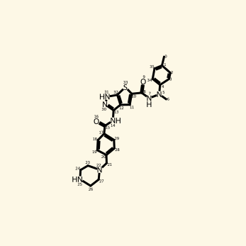 Cc1ccc(N(C)NC(=O)c2cc3c(NC(=O)c4ccc(CN5CCNCC5)cc4)n[nH]c3s2)cc1